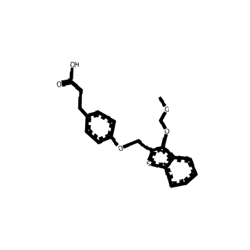 COCOc1c(COc2ccc(CCC(=O)O)cc2)sc2ccccc12